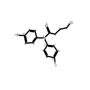 O=C(CCCCl)N(c1ccc(F)cc1)c1ccc(F)cc1